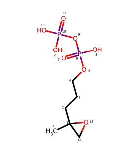 CC1(CCCOP(=O)(O)OP(=O)(O)O)CO1